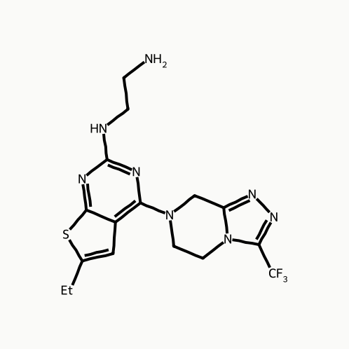 CCc1cc2c(N3CCn4c(nnc4C(F)(F)F)C3)nc(NCCN)nc2s1